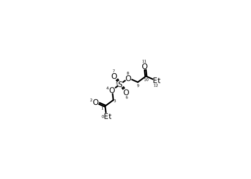 CCC(=O)COS(=O)(=O)OCC(=O)CC